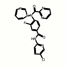 O=C(Nc1ccc(Cl)cn1)c1ccc(N(C(=O)c2ncccn2)N2C=CC=CN=C2)c(F)c1